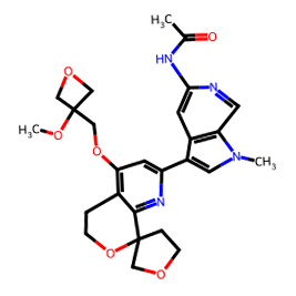 COC1(COc2cc(-c3cn(C)c4cnc(NC(C)=O)cc34)nc3c2CCOC32CCOC2)COC1